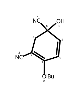 CC(C)COC1=C(C#N)CC(O)(C#N)C=C1